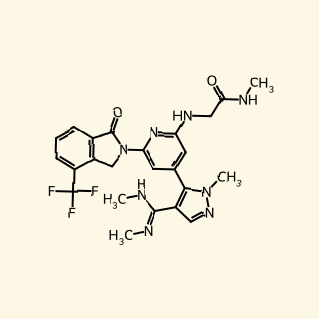 C/N=C(\NC)c1cnn(C)c1-c1cc(NCC(=O)NC)nc(N2Cc3c(cccc3C(F)(F)F)C2=O)c1